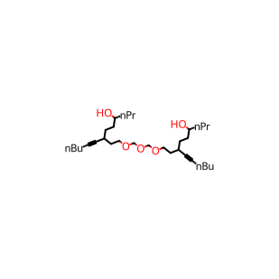 CCCCC#CC(CCOCOCOCCC(C#CCCCC)CCC(O)CCC)CCC(O)CCC